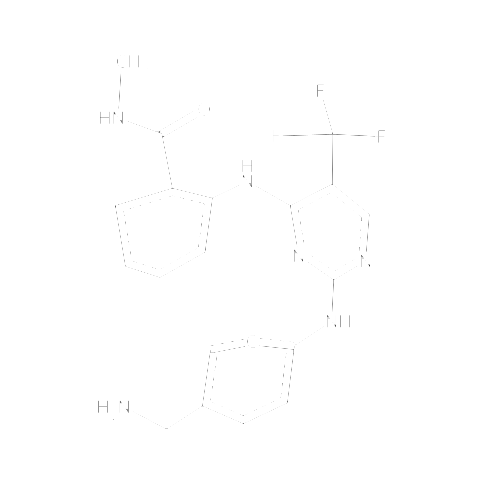 CNC(=O)c1ccccc1Nc1nc(Nc2ccc(CN)cc2)ncc1C(F)(F)F